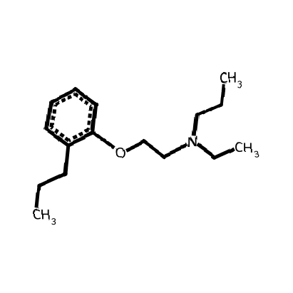 CCCc1ccccc1OCCN(CC)CCC